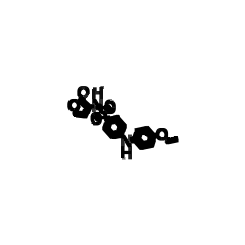 CCOc1ccc(Nc2ccc(S(=O)(=O)N[C@H]3CCOC3=O)cc2)cc1